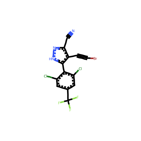 N#Cc1n[nH]c(-c2c(Cl)cc(C(F)(F)F)cc2Cl)c1C#CBr